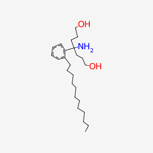 CCCCCCCCCCCCc1ccccc1C(N)(CCCO)CCCO